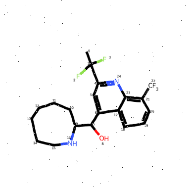 CC(F)(F)c1cc(C(O)C2CCCCCCN2)c2cccc(C(F)(F)F)c2n1